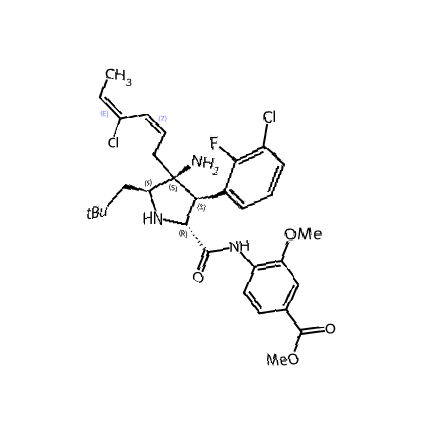 C/C=C(Cl)\C=C/C[C@@]1(N)[C@H](CC(C)(C)C)N[C@@H](C(=O)Nc2ccc(C(=O)OC)cc2OC)[C@@H]1c1cccc(Cl)c1F